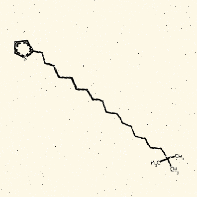 CC(C)(C)CCCCCCCCCCCCCCCCCc1cccs1